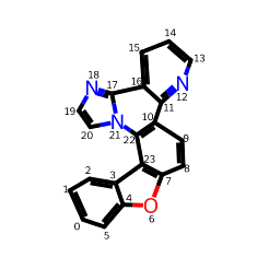 c1ccc2c(c1)oc1ccc3c4ncccc4c4nccn4c3c12